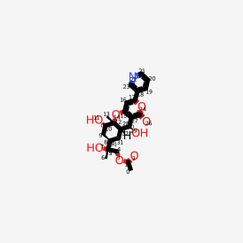 CC(=O)OC[C@](C)(O)[C@H]1C[C@@H](O)[C@]2(C)Oc3cc(-c4cccnc4)oc(=O)c3[C@H](O)[C@H]2C1